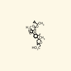 Cc1noc(-c2ccc(C3(C)COC4(CC(=O)O)CC4C3)c(F)c2)c1NC(=O)O[C@H](C)C1CC1